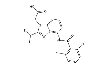 O=C(O)Cn1c(C(F)F)nc2c(NC(=O)c3c(Cl)cccc3Cl)cccc21